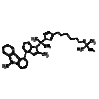 CC1=Cc2c(-c3cccc4c3c3ccccc3n4C)cccc2C1[Si](C)(C)C1C=CC(CCCCCCOC(C)(C)C)=C1